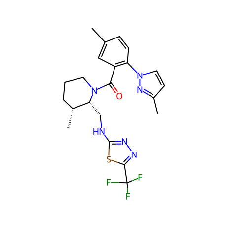 Cc1ccc(-n2ccc(C)n2)c(C(=O)N2CCC[C@@H](C)[C@H]2CNc2nnc(C(F)(F)F)s2)c1